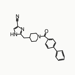 N#Cc1c[nH]c(CC2CCN(C(=O)c3ccc(-c4ccccc4)cc3)CC2)n1